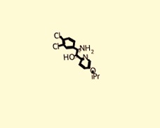 CC(C)Oc1ccc([C@@H](O)[C@@H](N)c2ccc(Cl)c(Cl)c2)nc1